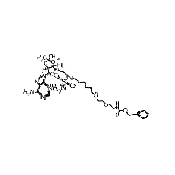 CC1(C)O[C@@H]2[C@H](O1)[C@@H](CN(CCCCCCOCCOCCNC(=O)OCc1ccccc1)S(N)(=O)=O)O[C@H]2n1cnc2c(N)ncnc21